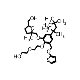 CC(C)(C)CC(C)(C)c1cc(COc2cccs2)c(OCCOCCO)c(OCC2(C)CCC(CO)O2)c1